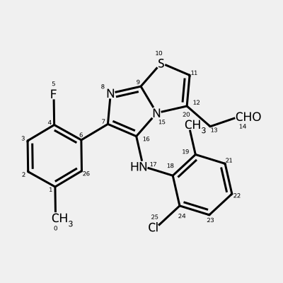 Cc1ccc(F)c(-c2nc3scc(CC=O)n3c2Nc2c(C)cccc2Cl)c1